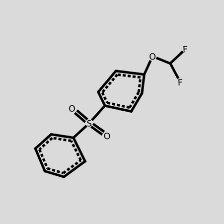 O=S(=O)(c1ccccc1)c1ccc(OC(F)F)cc1